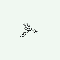 Cc1ccc2cc(Cn3c4cc(-c5ccc(Cl)cc5)c[c]c4c4c(C(N)=O)cccc43)ccc2c1